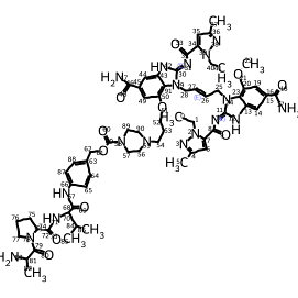 CCn1nc(C)cc1C(=O)/N=c1\[nH]c2cc(C(N)=O)cc(OC)c2n1C/C=C/Cn1/c(=N/C(=O)c2cc(C)nn2CC)[nH]c2cc(C(N)=O)cc(OCCCN3CCN(C(=O)OCc4ccc(NC(=O)C(NC(=O)[C@@H]5CCCN5C(=O)C(C)N)C(C)C)cc4)CC3)c21